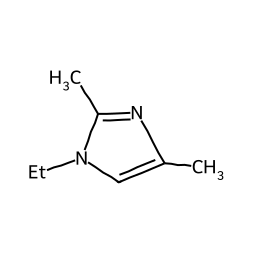 CCn1cc(C)nc1C